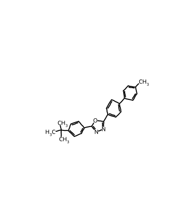 Cc1ccc(-c2ccc(-c3nnc(-c4ccc(C(C)(C)C)cc4)o3)cc2)cc1